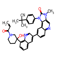 C=CC(=O)N1CCCC(O)(c2cccc3cc(-c4ccc5ncc6c(c5c4)n(-c4ccc(C(C)(C)C#N)cc4)c(=O)n6C)cnc23)C1